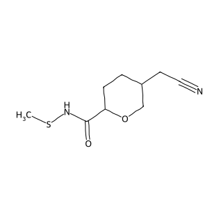 CSNC(=O)C1CCC(CC#N)CO1